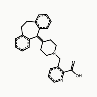 O=C(O)c1ncccc1CN1CCC(=C2c3ccccc3CCc3ccccc32)CC1